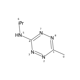 Cc1nnc(NC(C)C)nn1